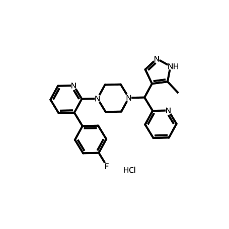 Cc1[nH]ncc1C(c1ccccn1)N1CCN(c2ncccc2-c2ccc(F)cc2)CC1.Cl